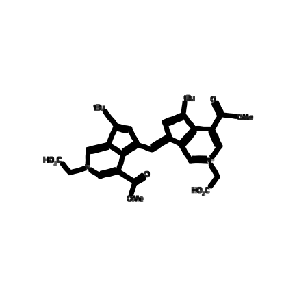 COC(=O)c1c[n+](CC(=O)O)cc2c1C(C(C)(C)C)=C/C2=C\c1cc(C(C)(C)C)c2cn(CC(=O)O)cc(C(=O)OC)c1-2